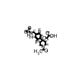 CC(=O)N1CCC(OCC(=O)O)(c2cc(F)c(CN[SH](=O)=O)cc2F)CC1